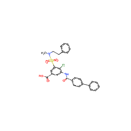 CN(CCc1ccccc1)S(=O)(=O)c1cc(C(=O)O)cc(NC(=O)c2ccc(-c3ccccc3)cc2)c1Cl